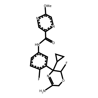 COc1cnc(C(=O)Nc2ccc(F)c(C3(C4CC4)N=C(N)COC3F)c2)cn1